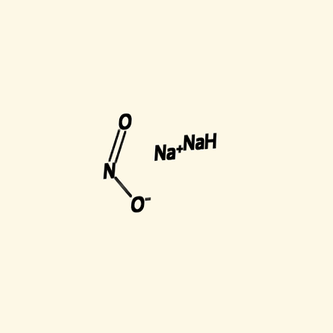 O=N[O-].[Na+].[NaH]